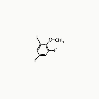 COc1c(F)cc(I)cc1I